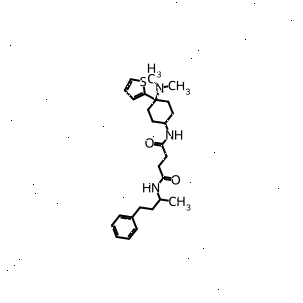 CC(CCc1ccccc1)NC(=O)CCC(=O)NC1CCC(c2cccs2)(N(C)C)CC1